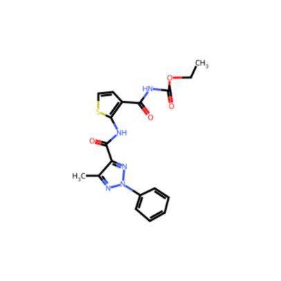 CCOC(=O)NC(=O)c1ccsc1NC(=O)c1nn(-c2ccccc2)nc1C